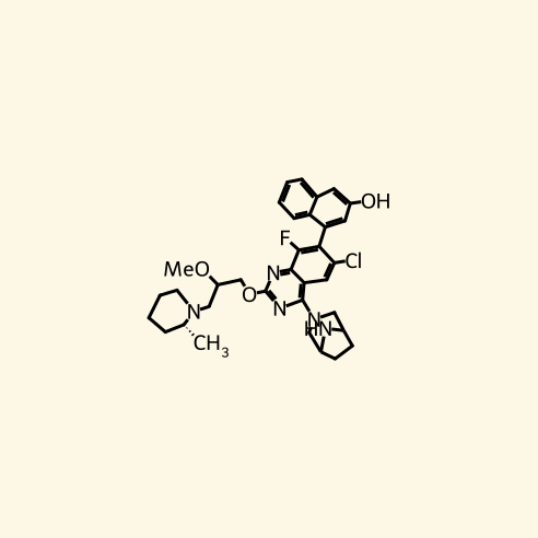 COC(COc1nc(N2CC3CCC(C2)N3)c2cc(Cl)c(-c3cc(O)cc4ccccc34)c(F)c2n1)CN1CCCC[C@H]1C